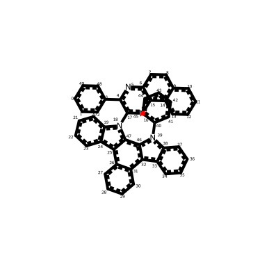 c1ccc(-c2nc3ccc4ccccc4c3nc2-n2c3ccccc3c3c4ccccc4c4c5ccccc5n(-c5ccccc5)c4c32)cc1